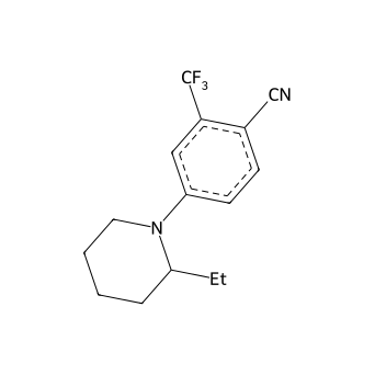 CCC1CCCCN1c1ccc(C#N)c(C(F)(F)F)c1